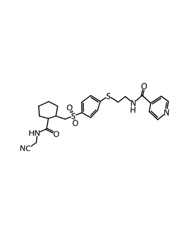 N#CCNC(=O)C1CCCCC1CS(=O)(=O)c1ccc(SCCNC(=O)c2ccncc2)cc1